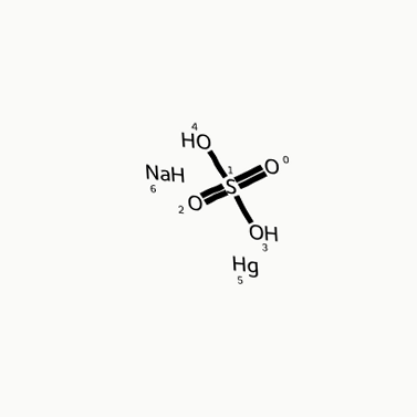 O=S(=O)(O)O.[Hg].[NaH]